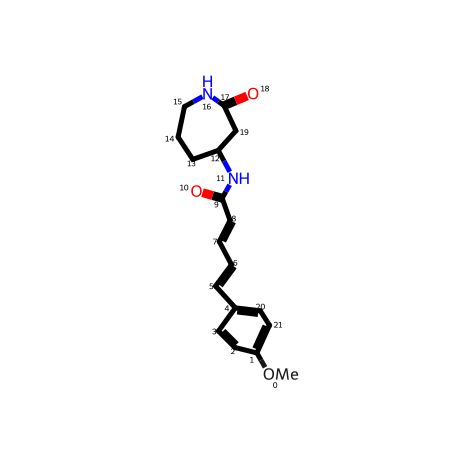 COc1ccc(C=CC=CC(=O)NC2CCCNC(=O)C2)cc1